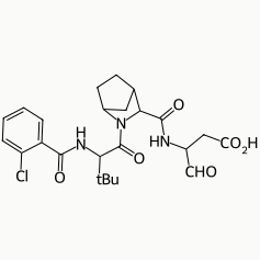 CC(C)(C)C(NC(=O)c1ccccc1Cl)C(=O)N1C2CCC(C2)C1C(=O)NC(C=O)CC(=O)O